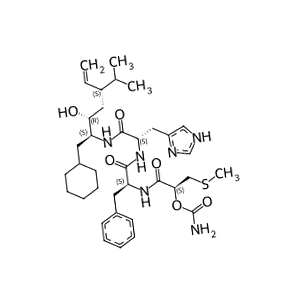 C=C[C@@H](C[C@@H](O)[C@H](CC1CCCCC1)NC(=O)[C@H](Cc1c[nH]cn1)NC(=O)[C@H](Cc1ccccc1)NC(=O)[C@@H](CSC)OC(N)=O)C(C)C